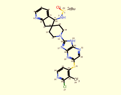 CC(C)(C)[S@@+]([O-])N[C@@H]1c2cccnc2CC12CCN(c1nc3nc(Sc4ccnc(Cl)c4C(F)(F)F)cnc3[nH]1)CC2